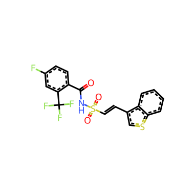 O=C(NS(=O)(=O)C=Cc1csc2ccccc12)c1ccc(F)cc1C(F)(F)F